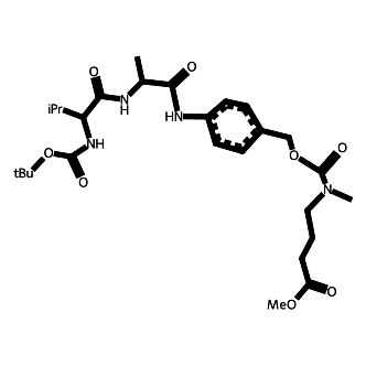 COC(=O)CCCN(C)C(=O)OCc1ccc(NC(=O)C(C)NC(=O)C(NC(=O)OC(C)(C)C)C(C)C)cc1